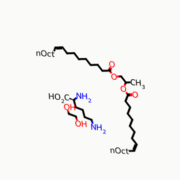 CCCCCCCC/C=C\CCCCCCCC(=O)OCC(C)OC(=O)CCCCCCC/C=C\CCCCCCCC.NCCCC[C@H](N)C(=O)O.OCCO